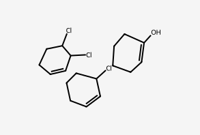 ClC1C=CCCC1.ClC1C=CCCC1Cl.OC1=CCCCC1